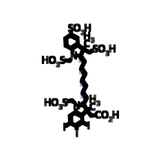 CC1(CC(=O)O)C(/C=C/C=C/C=C/C=C2\N(CS(=O)(=O)O)c3ccc(S(=O)(=O)O)cc3C2(C)CS(=O)(=O)O)=[N+](CS(=O)(=O)O)c2cc(I)c(I)c(I)c21